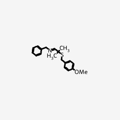 COc1ccc(CSC(C)(C)C=NCc2ccccc2)cc1